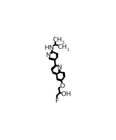 CC(C)Nc1ccc(-c2ccc3cc(OCC(O)CF)ccc3n2)cn1